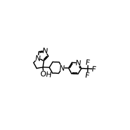 OC1(C2CCN(c3ccc(C(F)(F)F)nc3)CC2)CCn2cncc21